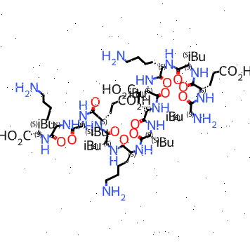 CC[C@H](C)[C@H](N)C(=O)N[C@@H](CCC(=O)O)C(=O)N[C@H](C(=O)N[C@@H](CCCCN)C(=O)N[C@H](C(=O)N[C@@H](CCC(=O)O)C(=O)N[C@H](C(=O)N[C@@H](CCCCN)C(=O)N[C@H](C(=O)N[C@@H](CCC(=O)O)C(=O)N[C@H](C(=O)N[C@@H](CCCCN)C(=O)N[C@H](C(=O)O)[C@@H](C)CC)[C@@H](C)CC)[C@@H](C)CC)[C@@H](C)CC)[C@@H](C)CC)[C@@H](C)CC